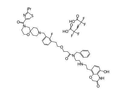 CC(C)c1nc(C(=O)N2CCOC3(CCN(Cc4cccc(CCOCCC(=O)N(CCNCCc5ccc(O)c6c5OCC(=O)N6)Cc5ccccc5)c4F)CC3)C2)cs1.O=C(O)C(F)(F)F.O=C(O)C(F)(F)F